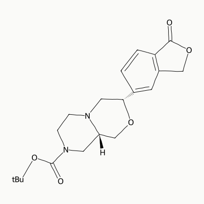 CC(C)(C)OC(=O)N1CCN2C[C@H](c3ccc4c(c3)COC4=O)OC[C@@H]2C1